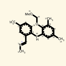 C/N=C/c1cc(C)ccc1Pc1cc(C)cc(C)c1OCOC